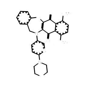 C=C1C2=C(Oc3ccccc3CN2c2ccc(N3CCOCC3)nc2)C(=O)c2c(OC)ccc(OC)c21